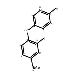 CNc1ccc(Sc2ccc(C)nc2)c(C)c1